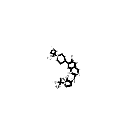 BC(B)(B)n1ncc(Nc2ncc3cc(Cl)c(C4CCN(C5(C)COC5)CC4)cc3n2)c1Cl